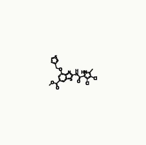 COC(=O)c1cc(OCc2ccsc2)c2nc(NC(=O)c3[nH]c(C)c(Cl)c3Cl)sc2c1